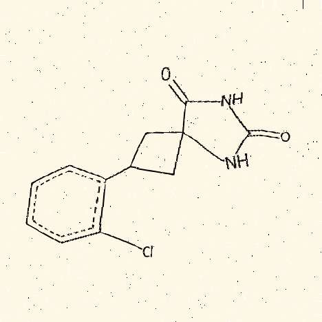 O=C1NC(=O)C2(CC(c3ccccc3Cl)C2)N1